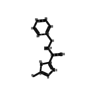 Cc1cnc(C(=O)NCc2ccccc2)s1